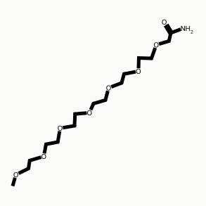 COCCOCCOCCOCCOCCOCCOCC(N)=O